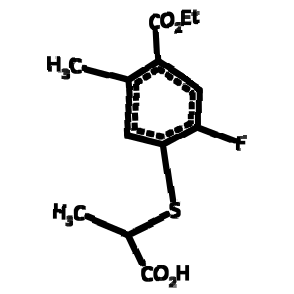 CCOC(=O)c1cc(F)c(SC(C)C(=O)O)cc1C